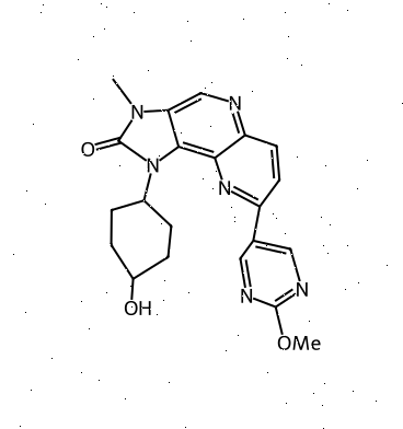 COc1ncc(-c2ccc3ncc4c(c3n2)n(C2CCC(O)CC2)c(=O)n4C)cn1